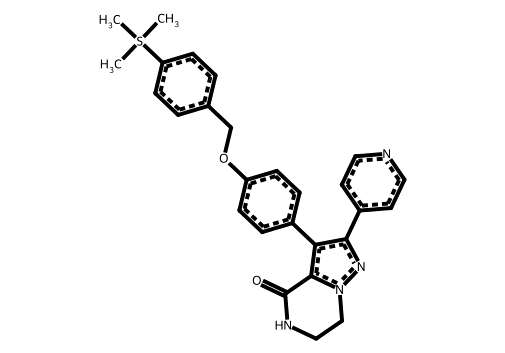 CS(C)(C)c1ccc(COc2ccc(-c3c(-c4ccncc4)nn4c3C(=O)NCC4)cc2)cc1